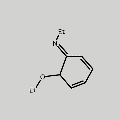 CCN=C1C=CC=CC1OCC